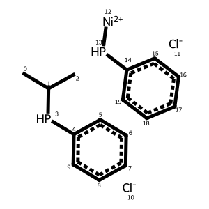 CC(C)Pc1ccccc1.[Cl-].[Cl-].[Ni+2][PH]c1ccccc1